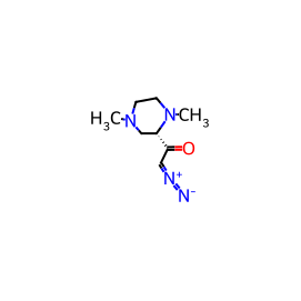 CN1CCN(C)[C@H](C(=O)C=[N+]=[N-])C1